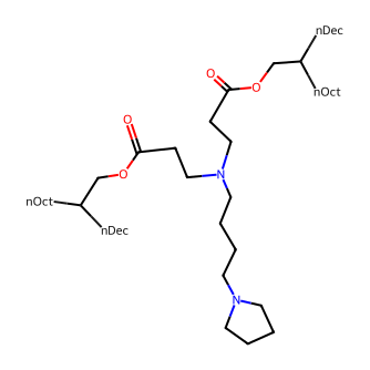 CCCCCCCCCCC(CCCCCCCC)COC(=O)CCN(CCCCN1CCCC1)CCC(=O)OCC(CCCCCCCC)CCCCCCCCCC